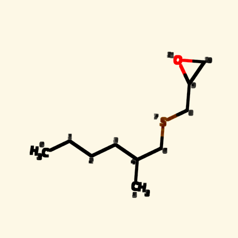 CCCCC(C)CSCC1CO1